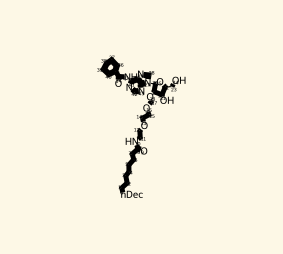 CCCCCCCCCCCCCCCCCC(=O)NCCOCCOCOC1C(O)[C@@H](CO)O[C@H]1n1cnc2c(NC(=O)c3ccccc3)ncnc21